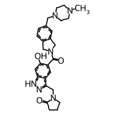 CN1CCN(Cc2ccc3c(c2)CN(C(=O)c2cc4c(CN5CCCC5=O)n[nH]c4cc2O)C3)CC1